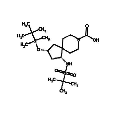 CC(C)(C)[Si](C)(C)O[C@H]1C[C@@H](NS(=O)(=O)C(C)(C)C)C2(CCN(C(=O)O)CC2)C1